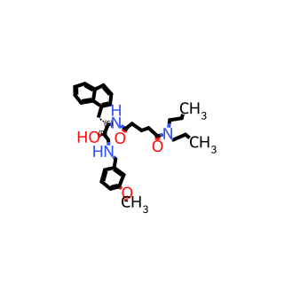 CCCN(CCC)C(=O)CCCC(=O)N[C@@H](Cc1cccc2ccccc12)[C@H](O)CNCc1cccc(OC)c1